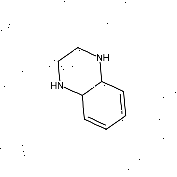 C1=CC2NCCNC2C=C1